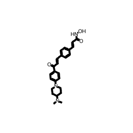 CN(C)C1CCN(c2ccc(C(=O)/C=C/c3ccc(/C=C/C(=O)NO)cc3)cc2)CC1